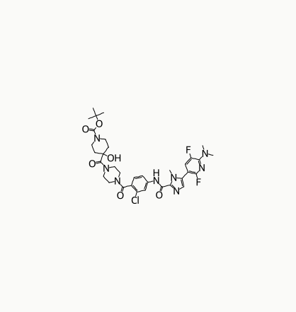 CN(C)c1nc(F)c(-c2cnc(C(=O)Nc3ccc(C(=O)N4CCN(C(=O)C5(O)CCN(C(=O)OC(C)(C)C)CC5)CC4)c(Cl)c3)n2C)cc1F